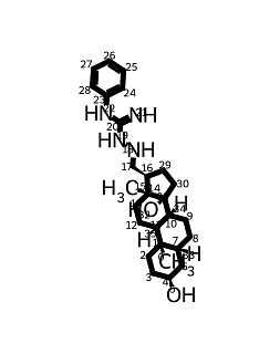 C[C@]12CC[C@H](O)C[C@H]1CC[C@@H]1[C@@H]2CC[C@]2(C)[C@@H](CNNC(=N)Nc3ccccc3)CC[C@]12O